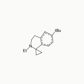 CCN1CCc2cc(C(C)(C)C)ccc2C12CC2